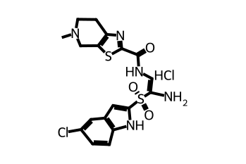 CN1CCc2nc(C(=O)N/C=C(/N)S(=O)(=O)c3cc4cc(Cl)ccc4[nH]3)sc2C1.Cl